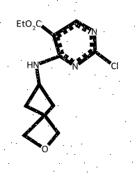 CCOC(=O)c1cnc(Cl)nc1NC1CC2(COC2)C1